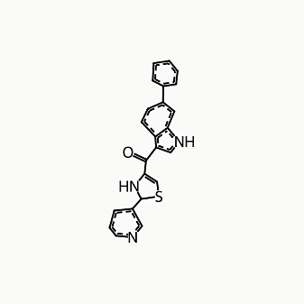 O=C(C1=CSC(c2cccnc2)N1)c1c[nH]c2cc(-c3ccccc3)ccc12